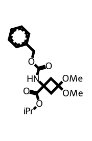 COC1(OC)CC(NC(=O)OCc2ccccc2)(C(=O)OC(C)C)C1